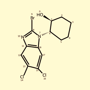 O[C@H]1CCCC[C@@H]1n1c(Br)nc2cc(Cl)c(Cl)cc21